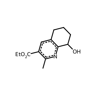 CCOC(=O)c1cc2c(nc1C)C(O)CCC2